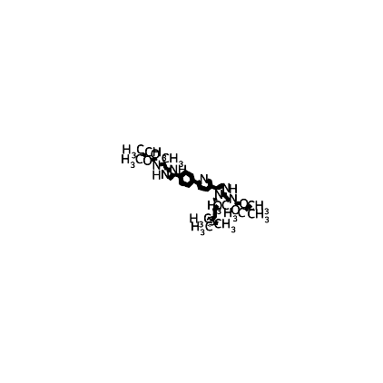 C[C@H](NC(=O)OC(C)(C)C)c1ncc(-c2ccc(-c3ccc(-c4cnc([C@H](C)NC(=O)OC(C)(C)C)n4COCCS(C)(C)C)cn3)cc2)[nH]1